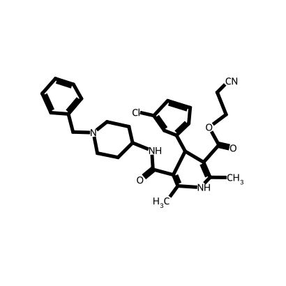 CC1=C(C(=O)NC2CCN(Cc3ccccc3)CC2)C(c2cccc(Cl)c2)C(C(=O)OCCC#N)=C(C)N1